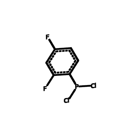 Fc1ccc(P(Cl)Cl)c(F)c1